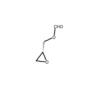 O=COC[C@H]1CO1